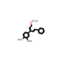 COc1ccc(C(C=Cc2ccccc2)=CCOC(=O)O)cc1OC